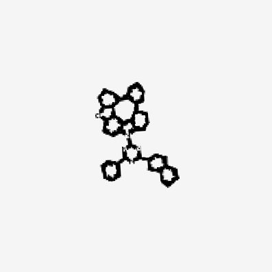 c1ccc(-c2nc(-c3ccc4ccccc4c3)nc(-n3c4cccc5c6ccccc6c6cccc7oc8ccc3c(c8c76)c54)n2)cc1